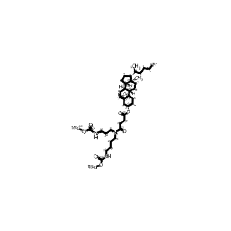 CC(C)CCCC(C)[C@H]1CC[C@H]2[C@@H]3CC=C4C[C@@H](OC(=O)CCC(=O)N(CCCCNC(=O)OC(C)(C)C)CCCNC(=O)OC(C)(C)C)CC[C@]4(C)[C@H]3CC[C@]12C